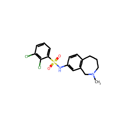 CN1CCCc2ccc(NS(=O)(=O)c3cccc(Cl)c3Cl)cc2C1